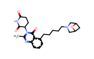 Cc1nc2cccc(CCCCCN3CC4CC(C3)O4)c2c(=O)n1C1CCC(=O)NC1=O